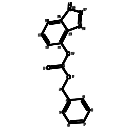 O=C(OCc1ccccc1)Oc1cccc2[nH]nnc12